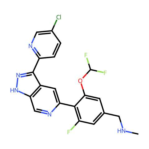 CNCc1cc(F)c(-c2cc3c(-c4ccc(Cl)cn4)n[nH]c3cn2)c(OC(F)F)c1